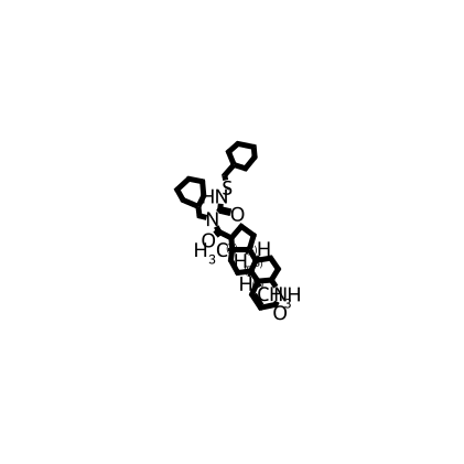 C[C@]12C=CC(=O)NC1CC[C@@H]1[C@H]2CC[C@]2(C)C(C(=O)N(CC3CCCCC3)C(=O)NSCC3CCCCC3)CC[C@@H]12